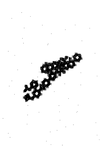 CC(C)Oc1ccccc1[C@@H]1CN(CC23CC(C2)C3)CCN1C1CC2(CCN(c3ccc(C(=O)NS(=O)(=O)c4cc5c(c([N+](=O)[O-])c4)N[C@H](C4CCOCC4)CO5)c(N4c5cc6cc[nH]c6nc5O[C@H]5COCC[C@@H]54)c3)CC2)C1